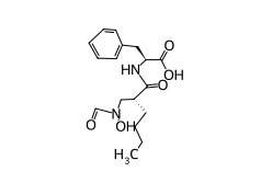 CCCC[C@H](CN(O)C=O)C(=O)N[C@@H](Cc1ccccc1)C(=O)O